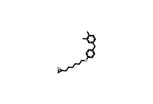 Cc1ccc(Cc2ccc(OCCCCCCC3CO3)cc2)cc1C